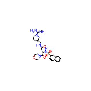 N=C(N)N1CCC[C@@H](CNC(=O)C[C@H](NS(=O)(=O)c2ccc3ccccc3c2)C(=O)N2CCOCC2)C1